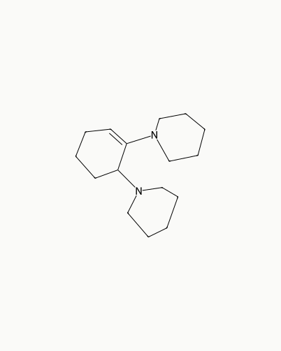 C1=C(N2CCCCC2)C(N2CCCCC2)CCC1